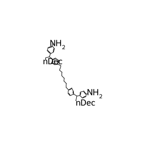 CCCCCCCCCCCC(c1ccc(N)cc1)c1ccc(CCCCCCCCc2ccc(C(CCCCCCCCCCC)c3ccc(N)cc3)cc2)cc1